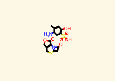 CC1=CC(O)=C(S(=O)(=O)O)CC1N.O=C1OCC2=C1N1C(=O)C=C1SC2